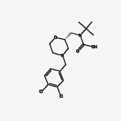 CC(C)(C)N(C[C@@H]1CN(Cc2ccc(Cl)c(Cl)c2)CCO1)C(=O)O